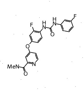 CNC(=O)c1cc(Oc2ccc(NC(=O)Nc3cccc(F)c3)c(F)c2)ccn1